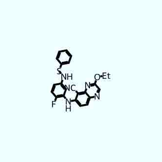 CCOc1cnc2ccc(Nc3cc(NSc4ccccc4)ccc3F)c(C#N)c2n1